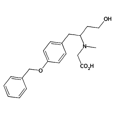 CN(CC(=O)O)C(CCO)Cc1ccc(OCc2ccccc2)cc1